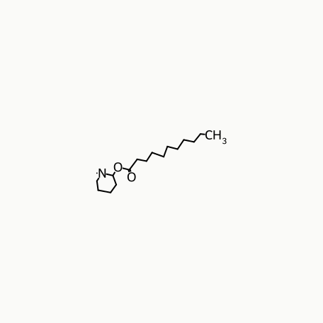 CCCCCCCCCCC(=O)OC1CCCC[N]1